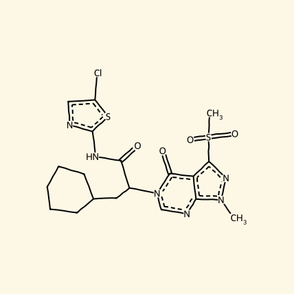 Cn1nc(S(C)(=O)=O)c2c(=O)n(C(CC3CCCCC3)C(=O)Nc3ncc(Cl)s3)cnc21